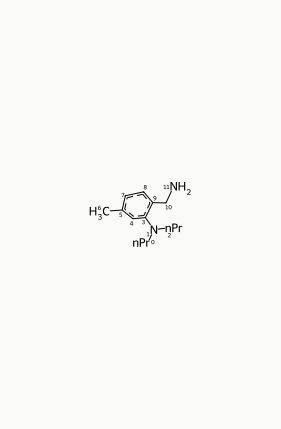 CCCN(CCC)c1cc(C)ccc1CN